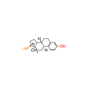 CC12CC[C@@H]3c4ccc(O)cc4CC[C@H]3[C@@H]1CCC2=P